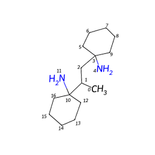 CC(CC1(N)CCCCC1)C1(N)CCCCC1